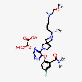 CCOCCN(C)CCC[C@H](C(C)C)N1CC2(CCN(c3ncnnc3Oc3ccc(F)cc3C(=O)N(CC)C(C)C)C2)C1.O=C(O)C(=O)O